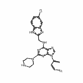 C=C(/C=C\CC)n1cnc2c(NCc3nc4cc(Cl)ccc4[nH]3)nc(N3CCNCC3)nc21